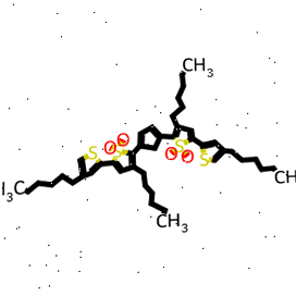 CCCCCCC1=C(C2=CC=C(C3=C(CCCCCC)C=C(c4cc(CCCCCC)cs4)S3(=O)=O)C2)S(=O)(=O)C(c2cc(CCCCCC)cs2)=C1